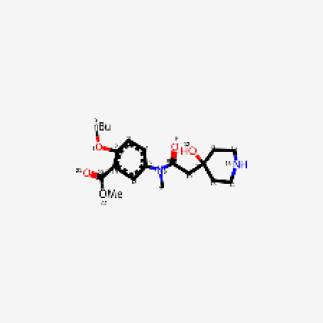 CCCCOc1ccc(N(C)C(=O)CC2(O)CCNCC2)cc1C(=O)OC